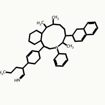 CCCC(C=N)C1C=CC(C2CN(C3C=CC=CC3)C(C)C(C3CC=C4C=CC=CC4C3)CCC(C)C(C)C3CCCCC23)CC1